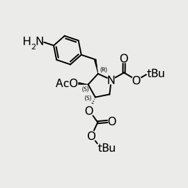 CC(=O)O[C@@H]1[C@@H](OC(=O)OC(C)(C)C)CN(C(=O)OC(C)(C)C)[C@@H]1Cc1ccc(N)cc1